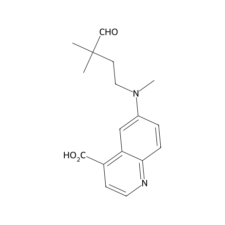 CN(CCC(C)(C)C=O)c1ccc2nccc(C(=O)O)c2c1